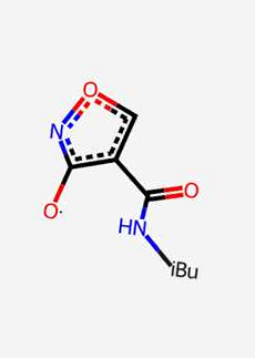 CCC(C)NC(=O)c1conc1[O]